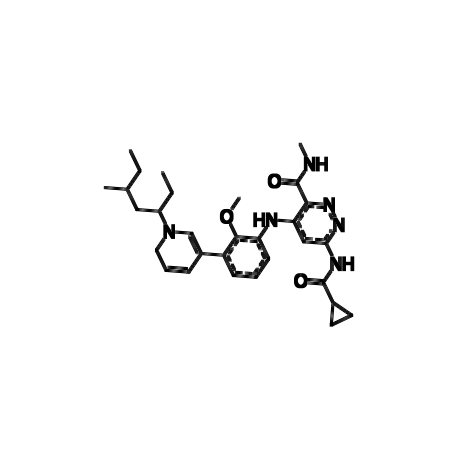 CCC(C)CC(CC)N1C=C(c2cccc(Nc3cc(NC(=O)C4CC4)nnc3C(=O)NC)c2OC)C=CC1